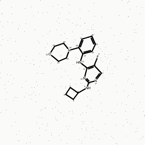 Fc1cnc(NC2CCC2)nc1Nc1ccccc1N1CCOCC1